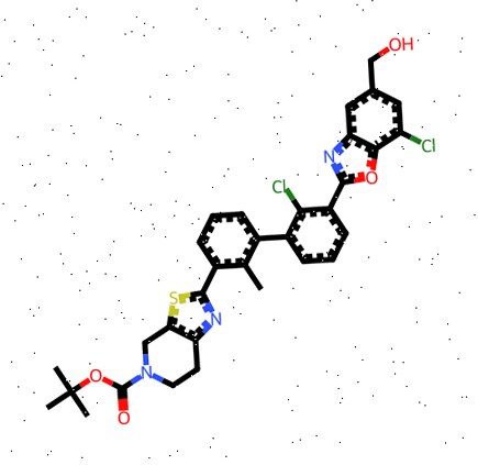 Cc1c(-c2nc3c(s2)CN(C(=O)OC(C)(C)C)CC3)cccc1-c1cccc(-c2nc3cc(CO)cc(Cl)c3o2)c1Cl